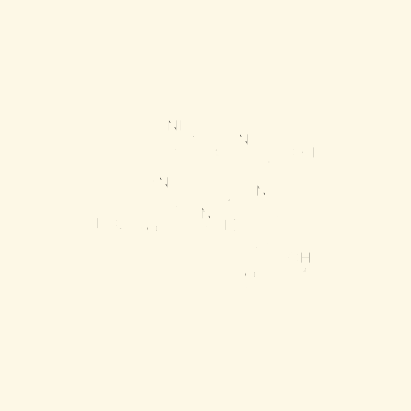 COc1nc(N)c2nc(O)n(CP(=O)(O)O)c2n1